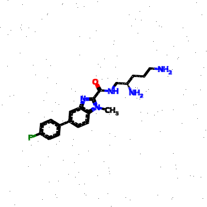 Cn1c(C(=O)NC[C@@H](N)CCCN)nc2cc(-c3ccc(F)cc3)ccc21